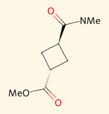 CNC(=O)[C@H]1C[C@H](C(=O)OC)C1